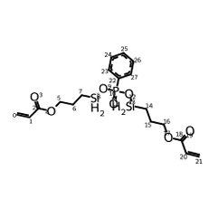 C=CC(=O)OCCC[SiH2]OP(=O)(O[SiH2]CCCOC(=O)C=C)c1ccccc1